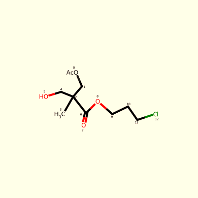 CC(=O)OCC(C)(CO)C(=O)OCCCCl